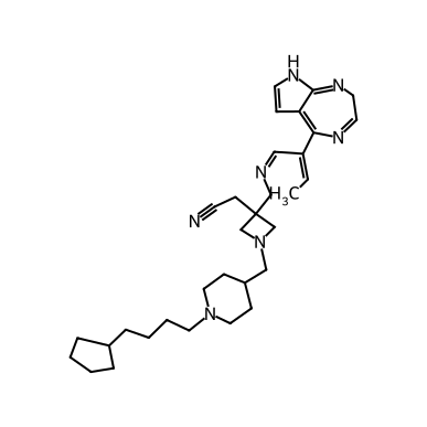 C/C=C(\C=N/CC1(CC#N)CN(CC2CCN(CCCCC3CCCC3)CC2)C1)C1=c2cc[nH]c2=NCC=N1